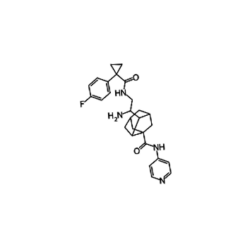 NC(CNC(=O)C1(c2ccc(F)cc2)CC1)C1C2CC3CC1C(C(=O)Nc1ccncc1)(C3)C2